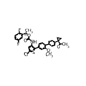 COc1cc(-c2sc(Cl)cc2NC(=O)O[C@H](C)c2cc(F)ccc2F)ccc1-c1ccc(C2(C(C)=O)CC2)cc1